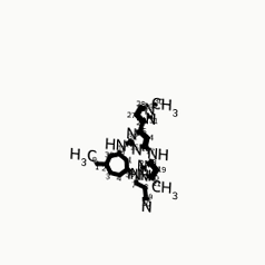 CCC1CCC(NCCC#N)CC(Nc2nc(Nc3cc(C)[nH]n3)cc(-c3ccn(C)n3)n2)C1